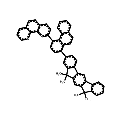 CC1(C)c2ccccc2-c2cc3c(cc21)C(C)(C)c1cc(-c2ccc(-c4ccc5ccc6cccnc6c5n4)c4c2ccc2ccccc24)ccc1-3